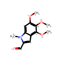 COc1cc2c(cc(C=O)n2C)c(OC)c1OC